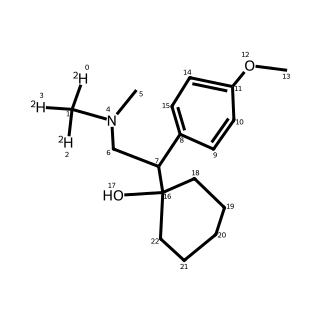 [2H]C([2H])([2H])N(C)CC(c1ccc(OC)cc1)C1(O)CCCCC1